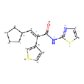 O=C(Nc1nccs1)/C(=C/C1CCCC1)c1ccsc1